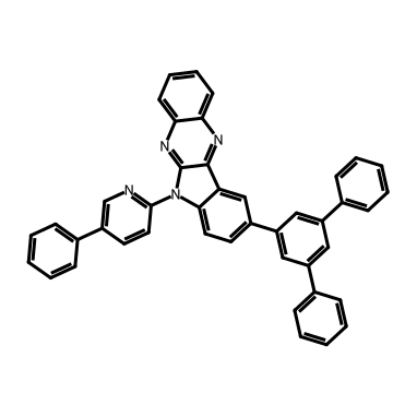 c1ccc(-c2ccc(-n3c4ccc(-c5cc(-c6ccccc6)cc(-c6ccccc6)c5)cc4c4nc5ccccc5nc43)nc2)cc1